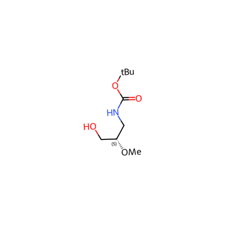 CO[C@H](CO)CNC(=O)OC(C)(C)C